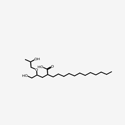 CCCCCCCCCCCCC(CC(CO)OCC(C)O)C(=O)O